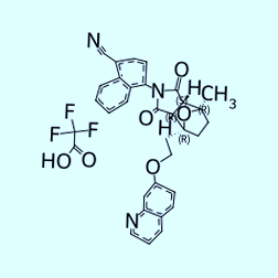 C[C@]12CC[C@](CCOc3ccc4cccnc4c3)(O1)[C@@H]1C(=O)N(c3ccc(C#N)c4ccccc34)C(=O)[C@@H]12.O=C(O)C(F)(F)F